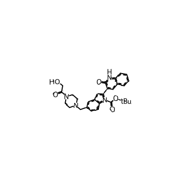 CC(C)(C)OC(=O)n1c(-c2cc3ccccc3[nH]c2=O)cc2cc(CN3CCN(C(=O)CO)CC3)ccc21